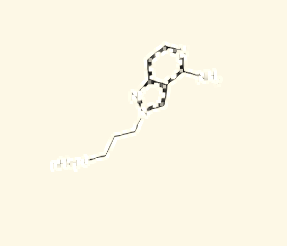 CCCCCCCCCCn1cc2c(N)nccc2n1